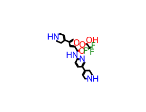 O=C(Nc1ccc(C2=CCNCC2)cn1)c1cc(C2=CCNCC2)co1.O=C(O)C(F)(F)F